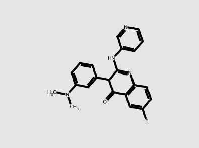 CN(C)c1cccc(C2C(=O)c3cc(F)ccc3N=C2Nc2cccnc2)c1